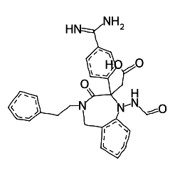 N=C(N)c1ccc(C2(CC(=O)O)C(=O)N(CCc3ccccc3)Cc3ccccc3N2NC=O)cc1